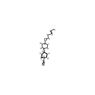 C/C=C/CCOC1CCC(c2ccc(C#N)cc2)CC1